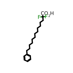 O=C(O)C(F)(F)CCCCCCCCCCCCc1ccccc1